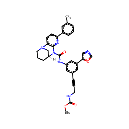 CC(C)(C)OC(=O)NCC#Cc1cc(NC(=O)N2c3nc(-c4cccc(C(F)(F)F)c4)ccc3N3CCC[C@H]2C3)cc(-c2cnco2)c1